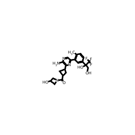 Cc1ccc(C(O)(CO)C(F)(F)F)cc1-c1cnc(N)c(C2CC(C(=O)N3CC(O)C3)C2)n1